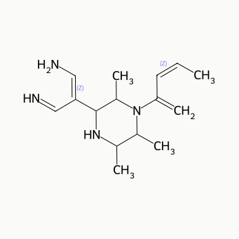 C=C(/C=C\C)N1C(C)C(C)NC(/C(C=N)=C/N)C1C